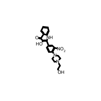 O=c1c(O)c(-c2ccc(N3CCN(CCO)CC3)c([N+](=O)[O-])c2)[nH]c2ccccc12